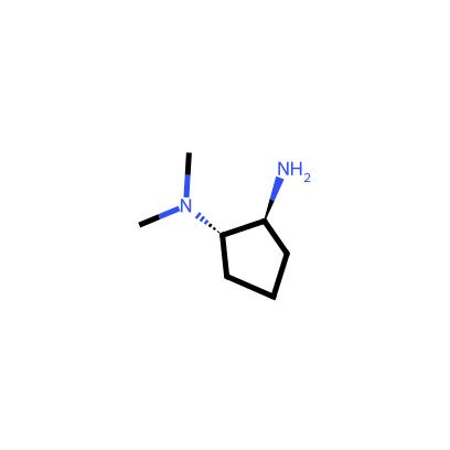 CN(C)[C@H]1CCC[C@@H]1N